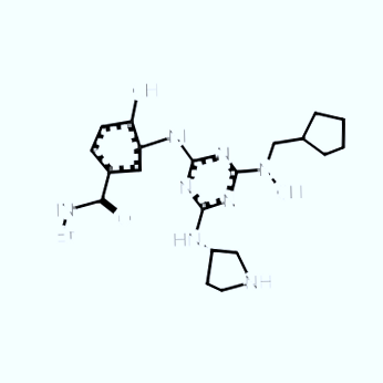 CCNC(=O)c1ccc(C)c(Nc2nc(N[C@H]3CCNC3)nc(N(C)CC3CCCC3)n2)c1